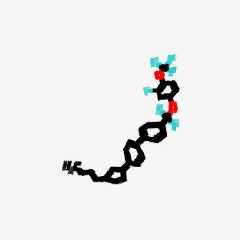 CCCCC1CCC(c2ccc(-c3ccc(C(F)(F)Oc4ccc(OC(F)(F)F)c(F)c4)cc3)cc2)C1